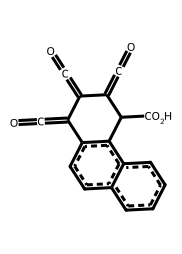 O=C=C1C(=C=O)c2ccc3ccccc3c2C(C(=O)O)C1=C=O